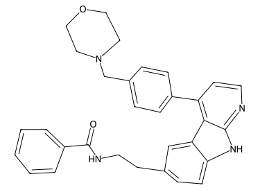 O=C(NCCc1ccc2[nH]c3nccc(-c4ccc(CN5CCOCC5)cc4)c3c2c1)c1ccccc1